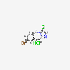 Cc1ncc(Cl)n1Cc1ccc(Br)cc1.Cl